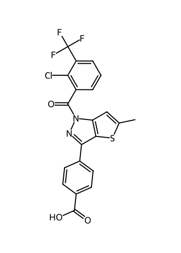 Cc1cc2c(s1)c(-c1ccc(C(=O)O)cc1)nn2C(=O)c1cccc(C(F)(F)F)c1Cl